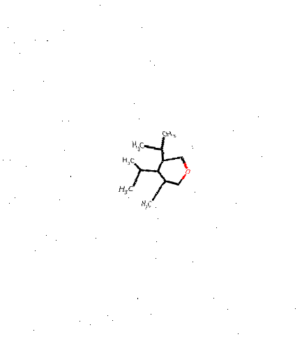 CC(C)C1COCC(C)C1C(C)C